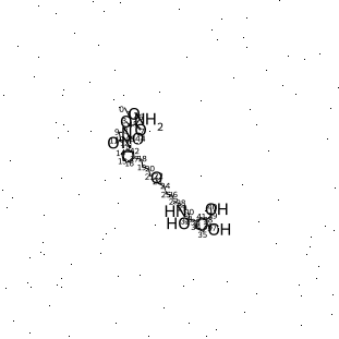 CC(=O)OC(C(N)=O)N1CC(=O)N(c2cccc(CCCCOCCCCCCNC[C@@H](O)c3ccc(O)c(CO)c3)c2)C1=O